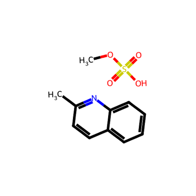 COS(=O)(=O)O.Cc1ccc2ccccc2n1